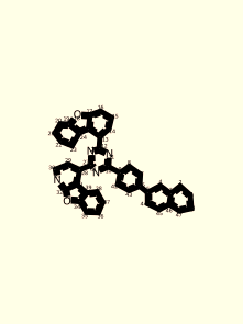 c1ccc2cc(-c3ccc(-c4nc(-c5cccc6oc7ccccc7c56)nc(-c5ccnc6oc7ccccc7c56)n4)cc3)ccc2c1